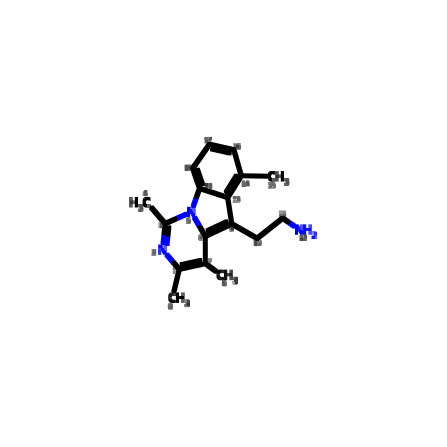 Cc1nc(C)n2c(c1C)c(CCN)c1c(C)cccc12